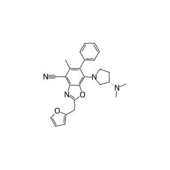 Cc1c(-c2ccccc2)c(N2CC[C@H](N(C)C)C2)c2oc(Cc3ccco3)nc2c1C#N